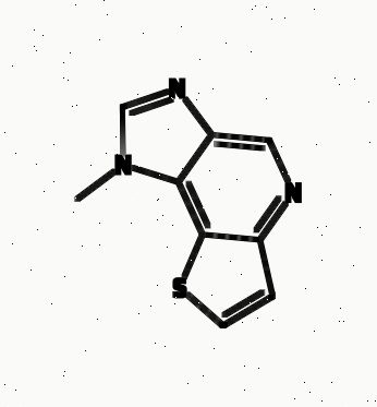 Cn1cnc2cnc3ccsc3c21